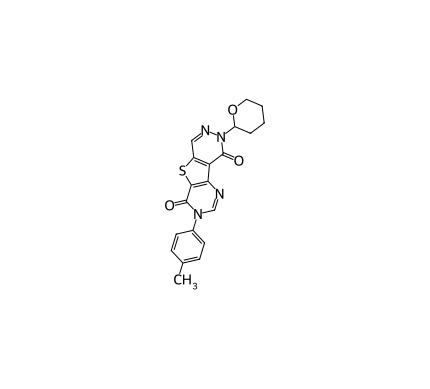 Cc1ccc(-n2cnc3c(sc4cnn(C5CCCCO5)c(=O)c43)c2=O)cc1